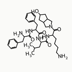 CC(C)CC(NC(=O)C(Cc1ccccc1)NC(=O)C(N)Cc1ccccc1)C(=O)NC(CCCCN)C(=O)N1CC2CC(O)CC2C1